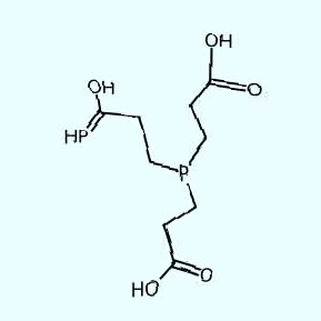 O=C(O)CCP(CCC(=O)O)CCC(O)=P